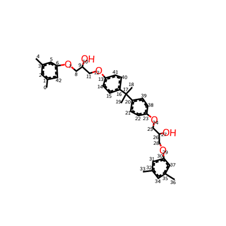 Cc1cc(C)cc(OCC(O)COc2ccc(C(C)(C)c3ccc(OCC(O)COc4cc(C)cc(C)c4)cc3)cc2)c1